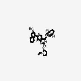 CCN1CCC[C@H]1COc1nc(N2C[C@H]3CC[C@@H](C2)N3)c2cnc(-c3cc(O)cc4ccccc34)c(F)c2n1